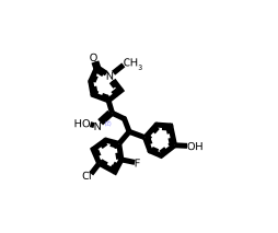 Cn1cc(/C(CC(c2ccc(O)cc2)c2ccc(Cl)cc2F)=N\O)ccc1=O